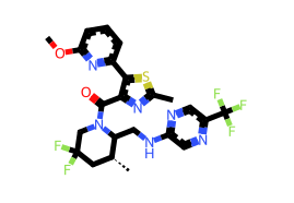 COc1cccc(-c2sc(C)nc2C(=O)N2CC(F)(F)C[C@@H](C)C2CNc2cnc(C(F)(F)F)cn2)n1